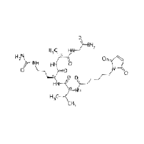 BC(=O)CNC(=O)[C@@H](C)NC(=O)[C@H](CCCNC(N)=O)NC(=O)[C@@H](NC(=O)CCCCCN1C(=O)C=CC1=O)C(C)C